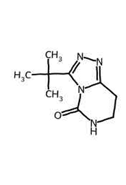 CC(C)(C)c1nnc2n1C(=O)NCC2